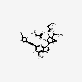 CNC(=O)C12CC1C(n1cnc3c(NC)nc(C#Cc4ccc(F)s4)nc31)C(OC(=O)CN)C2OC(=O)CN